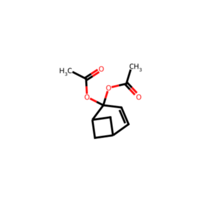 CC(=O)OC1(OC(C)=O)C=CC2CC1C2